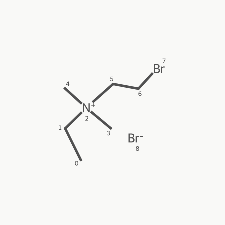 CC[N+](C)(C)CCBr.[Br-]